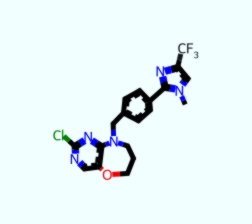 Cn1cc(C(F)(F)F)nc1-c1ccc(CN2CCCOc3cnc(Cl)nc32)cc1